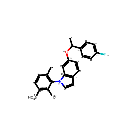 CCCc1c(S(=O)(=O)O)ccc(C)c1-n1ccc2ccc(OC(C)c3ccc(F)cc3)cc21